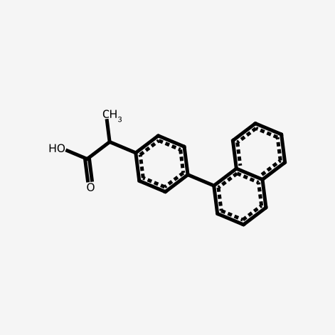 CC(C(=O)O)c1ccc(-c2cccc3ccccc23)cc1